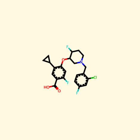 O=C(O)c1cc(C2CC2)c(OC2CN(Cc3ccc(F)cc3Cl)CCC2F)cc1F